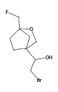 OC(CBr)C12CCC(CF)(C1)OC2